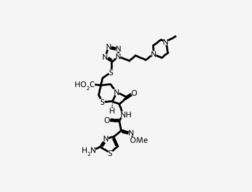 CON=C(C(=O)NC1C(=O)N2CC(CSc3nnnn3CCCN3CCN(C)CC3)(C(=O)O)CS[C@H]12)c1csc(N)n1